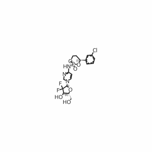 O=[P@@]1(NC2=NCN([C@@H]3O[C@H](CO)[C@@H](O)C3(F)F)C=C2)OCC[C@@H](c2cccc(Cl)c2)O1